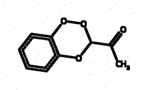 CC(=O)C1OOc2ccccc2O1